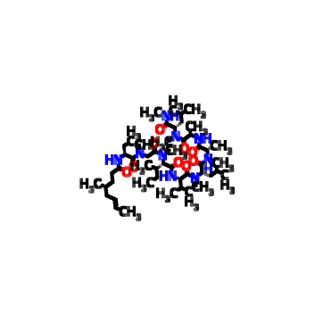 C/C=C/C[C@@H](C)CCC(=O)N[C@@H](CC)C(=O)N(C)CC(=O)N(C)[C@H](C(=O)N[C@H](C(=O)N(C)[C@@H](CC(C)C)C(=O)N[C@@H](C)C(=O)N[C@H](C)C(=O)N(C)[C@@H](CC(C)C)C(=O)NC)C(C)C)C(C)CC